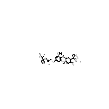 Cc1cc(OCC(=O)OC2(C(F)(F)F)CCC2)cc(C)c1Cc1ccc(O)c(C(C)C)c1